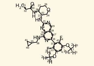 [2H]C([2H])([2H])Oc1cc(OC([2H])([2H])[2H])c(F)c(-c2cc3cnc(N[C@@H]4COCC[C@@H]4NC(=O)C=C)nc3c(NCC3CC3)n2)c1F